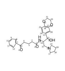 O=C(CCCC(=O)c1ccccc1)NC(CN1CCCC1)C(O)c1ccc2c(c1)OCCO2